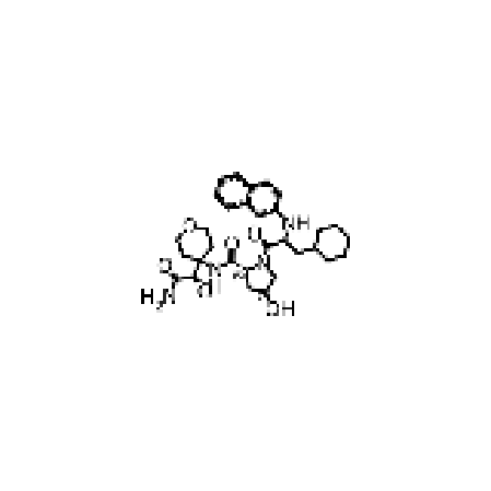 NC(=O)C(=O)C1(NC(=O)[C@@H]2C[C@H](O)CN2C(=O)C(CC2CCCCC2)Nc2ccc3ccccc3c2)CCOCC1